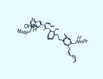 C=C\C=C/C(C1=C/C(NC=O)=N/C=C(CNC)\C=C\1)=C(/C)Cc1cccc(CCc2cc(C/C=C\N=C/C)c(CNCCC)cc2C)c1C=C